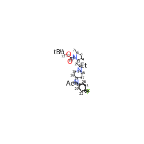 CCC(CC1CCC(C)N1C(=O)OCC(C)(C)C)N1CCC(N(C(C)=O)c2ccc(F)cc2)CC1